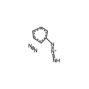 N#N.N=[N+]=Nc1ccccc1